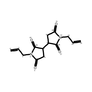 C=CCN1C(=O)CC(C2CC(=O)N(CC=C)C2=O)C1=O